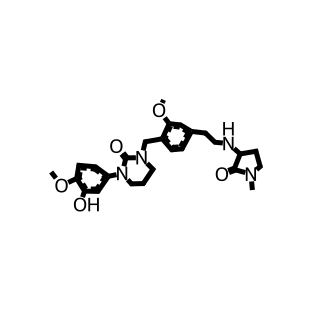 COc1ccc(N2CCCN(Cc3ccc(CCNC4CCN(C)C4=O)cc3OC)C2=O)cc1O